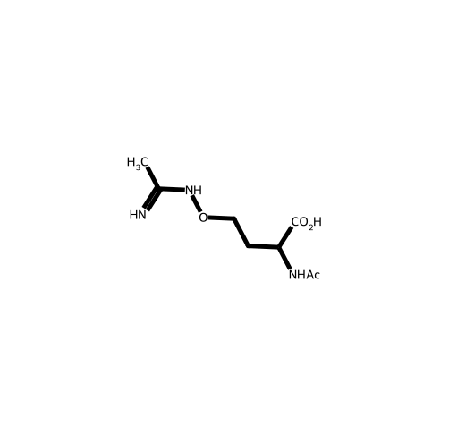 CC(=N)NOCCC(NC(C)=O)C(=O)O